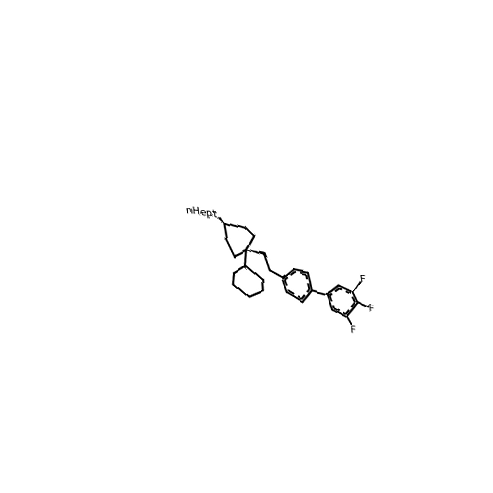 CCCCCCC[C@H]1CC[C@](CCc2ccc(-c3cc(F)c(F)c(F)c3)cc2)(C2CCCCC2)CC1